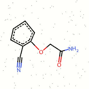 N#Cc1ccccc1OCC(N)=O